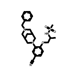 CC(COc1ccc(C#N)cc1N1CC2CC(CN(Cc3ccccc3)C2)C1)NS(C)(=O)=O